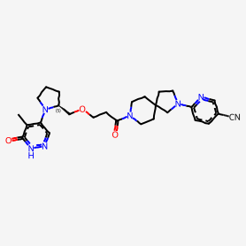 Cc1c(N2CCC[C@H]2COCCC(=O)N2CCC3(CC2)CCN(c2ccc(C#N)cn2)C3)cn[nH]c1=O